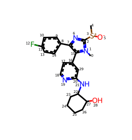 Cn1c([S+](C)[O-])nc(-c2ccc(F)cc2)c1-c1ccnc(NC2CCCCC2O)c1